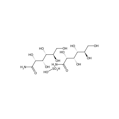 NC(=O)[C@H](O)[C@@H](O)[C@H](O)[C@H](O)CO.NC(=O)[C@H](O)[C@@H](O)[C@H](O)[C@H](O)CO.O=S(=O)(O)O